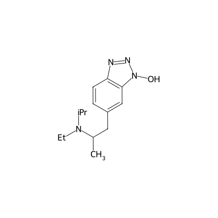 CCN(C(C)C)C(C)Cc1ccc2nnn(O)c2c1